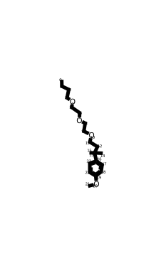 CCCCOCCOCCOCCC(C)(C)c1ccc(OC)cc1